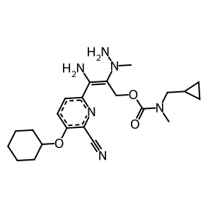 CN(CC1CC1)C(=O)OC/C(=C(/N)c1ccc(OC2CCCCC2)c(C#N)n1)N(C)N